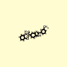 Cc1cccc(-c2nc3cc(S(=O)(=O)Nc4ccccc4Cl)ccc3[nH]2)n1